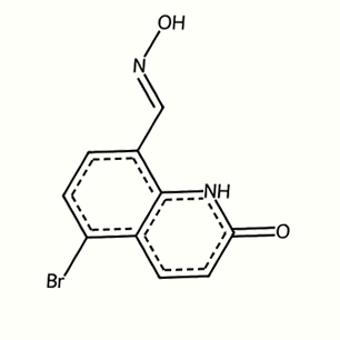 O=c1ccc2c(Br)ccc(C=NO)c2[nH]1